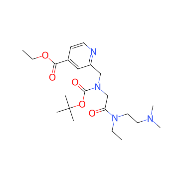 CCOC(=O)c1ccnc(CN(CC(=O)N(CC)CCN(C)C)C(=O)OC(C)(C)C)c1